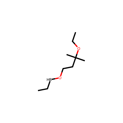 CCBOCCC(C)(C)OCC